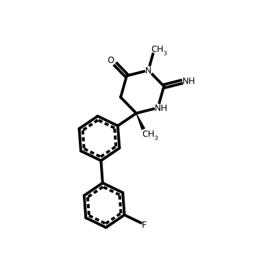 CN1C(=N)N[C@](C)(c2cccc(-c3cccc(F)c3)c2)CC1=O